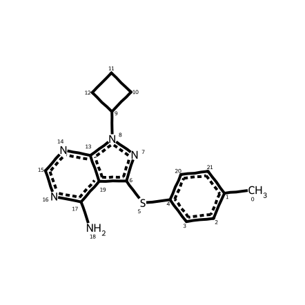 Cc1ccc(Sc2nn(C3CCC3)c3ncnc(N)c23)cc1